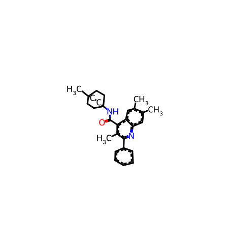 Cc1cc2nc(-c3ccccc3)c(C)c(C(=O)NC34CCC(C)(CC3)CC4)c2cc1C